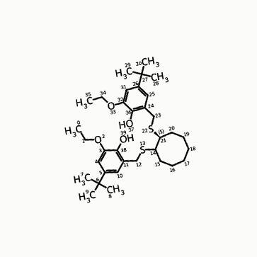 CCOc1cc(C(C)(C)C)cc(CSC2CCCCCC[C@@H]2SCc2cc(C(C)(C)C)cc(OCC)c2O)c1O